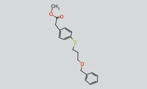 COC(=O)Cc1ccc(SCCCOCc2ccccc2)cc1